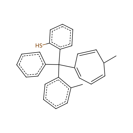 Cc1ccccc1C(C1=CC=CC(C)C=C1)(c1ccccc1)c1ccccc1S